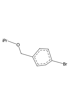 CC(C)OCc1ccc(Br)cc1